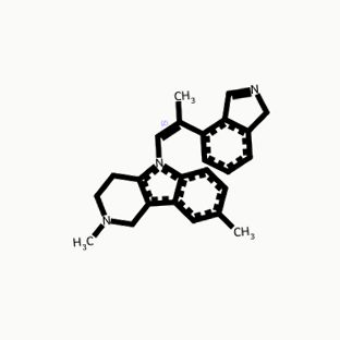 C/C(=C/n1c2c(c3cc(C)ccc31)CN(C)CC2)c1cccc2c1C=NC2